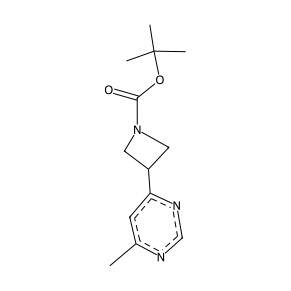 Cc1cc(C2CN(C(=O)OC(C)(C)C)C2)ncn1